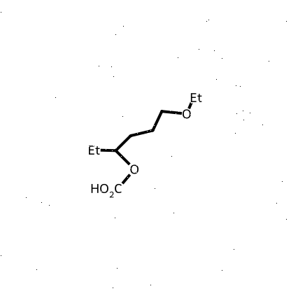 CCOCCCC(CC)OC(=O)O